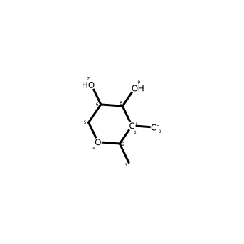 [CH2-][C+]1C(C)OCC(O)C1O